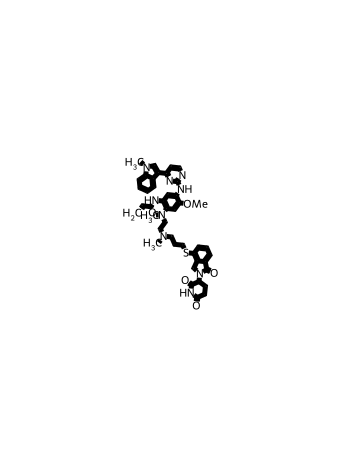 C=CC(=O)Nc1cc(Nc2nccc(-c3cn(C)c4ccccc34)n2)c(OC)cc1N(C)CCN(C)CCCSc1cccc2c1CN(C1CCC(=O)NC1=O)C2=O